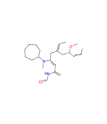 C=C(/C=C(/C/C(=C/C)CC(/C=C\C)OC)N(C)C1CCCCCC1)NC=O